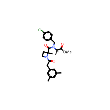 COC(=O)[C@@H](C)N(Cc1ccc(Cl)cc1)C(=O)C1(C)CCN1C(=O)Cc1cc(C)cc(C)c1